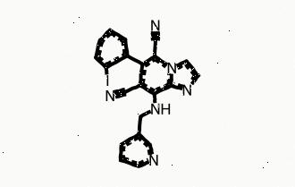 N#Cc1c(-c2ccccc2I)c(C#N)n2ccnc2c1NCc1cccnc1